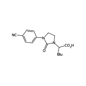 CC(C)(C)C(C(=O)O)N1CCN(c2ccc(C#N)cc2)C1=O